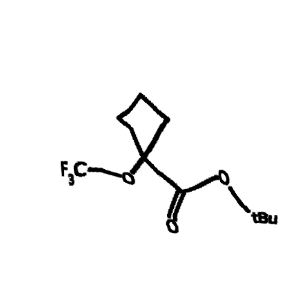 CC(C)(C)OC(=O)C1(OC(F)(F)F)CCC1